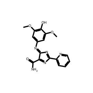 COc1cc(N=C2N=C(c3ccccn3)N=C2C(N)=O)cc(OC)c1O